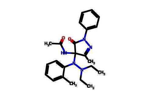 CCN(CC)N(c1ccccc1C)C1(NC(C)=O)C(=O)N(c2ccccc2)N=C1C